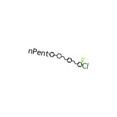 CCCCCc1ccc(C2CCC(CCc3ccc(CCc4ccc(Cl)c(F)c4)cc3)CC2)cc1